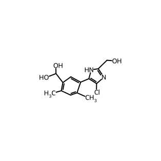 Cc1cc(C)c(C(O)O)cc1-c1[nH]c(CO)nc1Cl